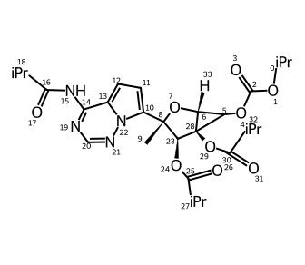 CC(C)OC(=O)OC1[C@H]2O[C@@](C)(c3ccc4c(NC(=O)C(C)C)ncnn34)[C@H](OC(=O)C(C)C)[C@@]12OC(=O)C(C)C